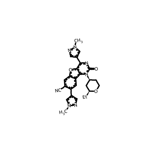 CC[C@H]1C[C@@H](n2c(=O)nc(-c3cnn(C)c3)c3oc4cc(C#N)c(-c5cnn(C)c5)cc4c32)CCO1